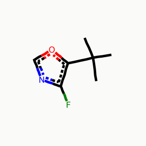 CC(C)(C)c1ocnc1F